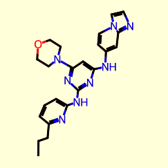 CCCc1cccc(Nc2nc(Nc3ccn4ccnc4c3)cc(N3CCOCC3)n2)n1